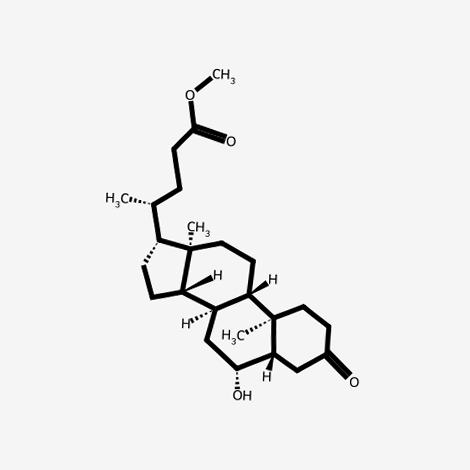 COC(=O)CC[C@@H](C)[C@H]1CC[C@H]2[C@@H]3C[C@@H](O)[C@H]4CC(=O)CC[C@]4(C)[C@H]3CC[C@]12C